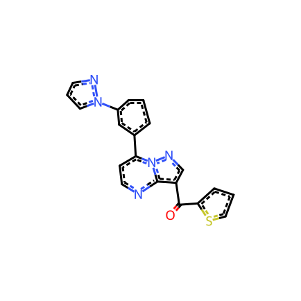 O=C(c1cccs1)c1cnn2c(-c3cccc(-n4cccn4)c3)ccnc12